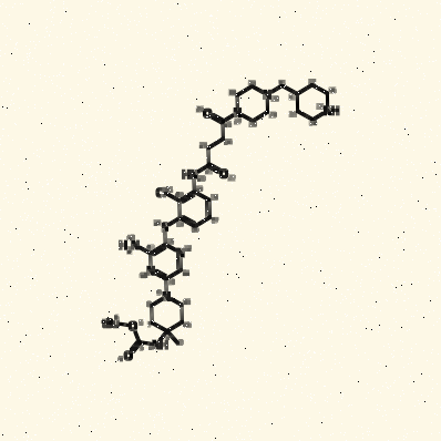 CC1(NC(=O)OC(C)(C)C)CCN(c2cnc(Sc3cccc(NC(=O)CCC(=O)N4CCN(CC5CCNCC5)CC4)c3Cl)c(N)n2)CC1